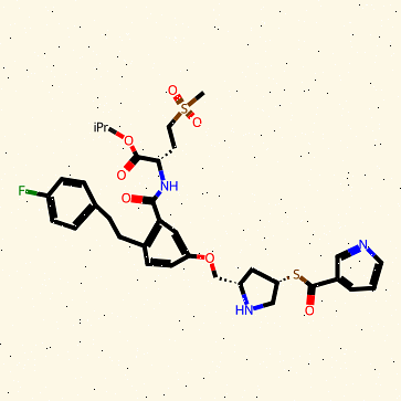 CC(C)OC(=O)[C@H](CCS(C)(=O)=O)NC(=O)c1cc(OC[C@@H]2C[C@H](SC(=O)c3cccnc3)CN2)ccc1CCc1ccc(F)cc1